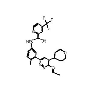 CCOc1nnc(-c2cc(NC(O)c3cc(C(F)(F)F)ccn3)ccc2C)cc1C1CCOCC1